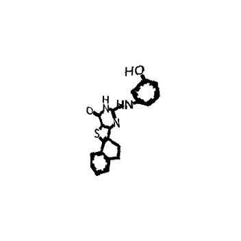 O=C1NC(CNc2cccc(O)c2)=NC2C3=C(SC12)c1ccccc1CC3